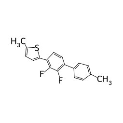 Cc1ccc(-c2ccc(-c3ccc(C)s3)c(F)c2F)cc1